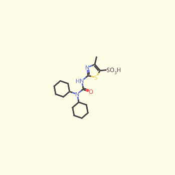 Cc1nc(NC(=O)N(C2CCCCC2)C2CCCCC2)sc1S(=O)(=O)O